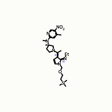 CC/N=C1\C(=C(/C)N2CC[C@@H](N(C)c3cc(C)c([N+](=O)[O-])cn3)C2)C=CN1COCC[Si](C)(C)C